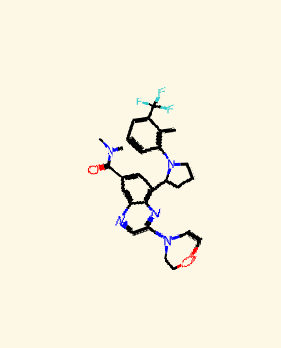 Cc1c(N2CCCC2c2cc(C(=O)N(C)C)cc3ncc(N4CCOCC4)nc23)cccc1C(F)(F)F